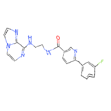 O=C(NCCNc1nccn2ccnc12)c1ccc(-c2cccc(F)c2)nc1